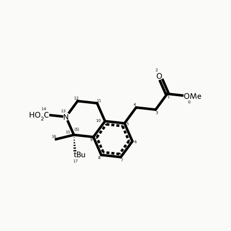 COC(=O)CCc1cccc2c1CCN(C(=O)O)[C@@]2(C)C(C)(C)C